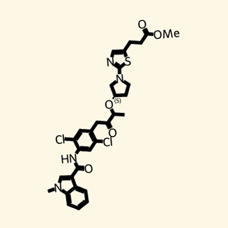 COC(=O)CCc1cnc(N2CC[C@H](OC(C)C(=O)Cc3cc(Cl)c(NC(=O)c4cn(C)c5ccccc45)cc3Cl)C2)s1